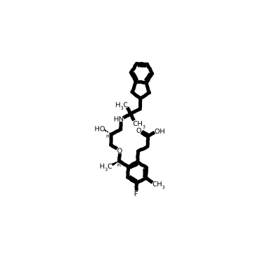 Cc1cc(CCC(=O)O)c([C@@H](C)OC[C@H](O)CNC(C)(C)CC2Cc3ccccc3C2)cc1F